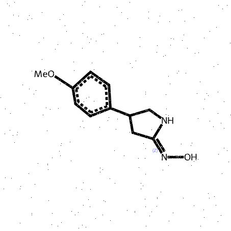 COc1ccc(C2CN/C(=N\O)C2)cc1